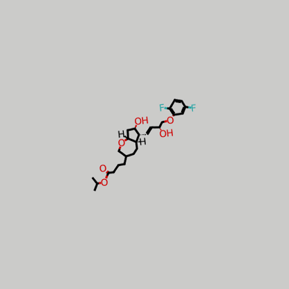 CC(C)OC(=O)CCCC1CC[C@@H]2[C@@H](/C=C/[C@@H](O)COc3cc(F)ccc3F)[C@H](O)C[C@H]2OC1